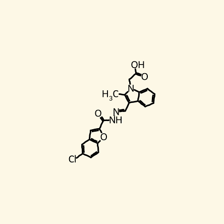 Cc1c(/C=N/NC(=O)c2cc3cc(Cl)ccc3o2)c2ccccc2n1CC(=O)O